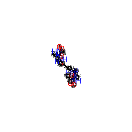 COC(=O)N[C@H](C(=O)N1CC2(CC2)C[C@H]1c1nc2ccc(C#Cc3ccc(-c4cnc([C@@H]5CCCN5C(=O)[C@H](NC(=O)OC)[C@H](C)c5ccccc5)[nH]4)cc3)cc2[nH]1)C(C)C